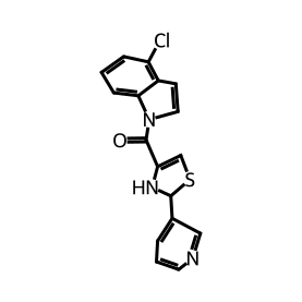 O=C(C1=CSC(c2cccnc2)N1)n1ccc2c(Cl)cccc21